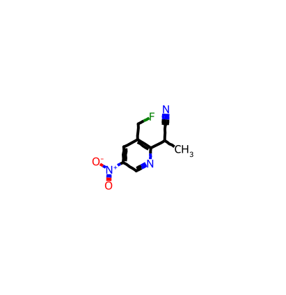 CC(C#N)c1ncc([N+](=O)[O-])cc1CF